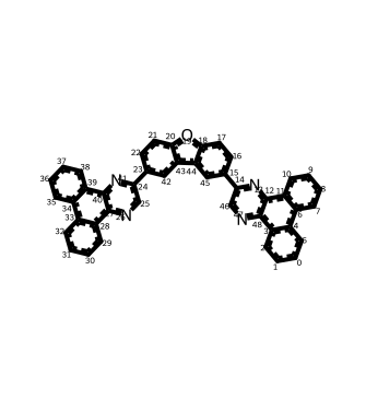 c1ccc2c(c1)c1ccccc1c1nc(-c3ccc4oc5ccc(-c6cnc7c8ccccc8c8ccccc8c7n6)cc5c4c3)cnc21